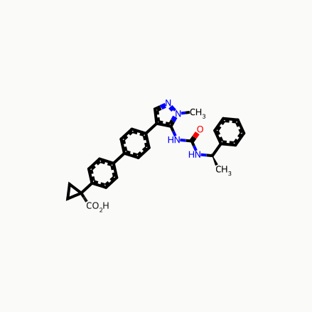 C[C@@H](NC(=O)Nc1c(-c2ccc(-c3ccc(C4(C(=O)O)CC4)cc3)cc2)cnn1C)c1ccccc1